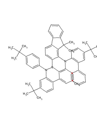 Cc1cc2c3c(c1)N(c1ccc(C(C)(C)C)cc1-c1ccccc1)c1c(ccc4c1C(C)(C)c1ccccc1-4)B3N(c1ccc(C(C)(C)C)cc1)c1cc(C(C)(C)C)ccc1-2